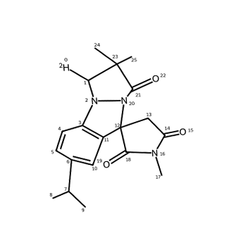 [2H]C1N2c3ccc(C(C)C)cc3C3(CC(=O)N(C)C3=O)N2C(=O)C1(C)C